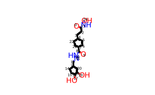 O=C(/C=C/c1ccc(C(=O)N/N=C/c2ccc(O)c(O)c2)cc1)NO